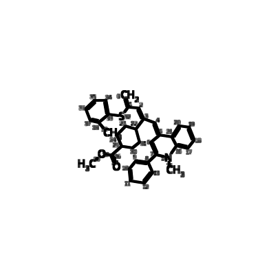 C=C(/C=C(/C=C1\C=C(c2ccccc2)N(C)c2ccccc21)C1CCC(C(=O)OC)CC1)Sc1ccccc1C